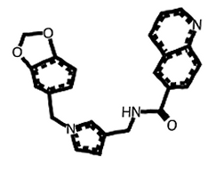 O=C(NCc1ccn(Cc2ccc3c(c2)OCO3)c1)c1ccc2ncccc2c1